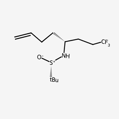 C=CCC[C@H](CCC(F)(F)F)N[S@@+]([O-])C(C)(C)C